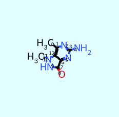 Cc1nc(N)nc2c(=O)[nH]n(C)c12